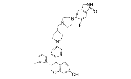 Cc1cccc([C@H]2COc3cc(O)ccc3[C@H]2c2ccc(N3CCC(CN4CCN(c5cc6c(cc5F)C(=O)NC6)CC4)CC3)cc2)c1